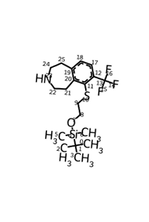 CC(C)(C)[Si](C)(C)OCCSc1c(C(F)(F)F)ccc2c1CCNCC2